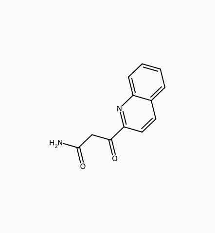 NC(=O)CC(=O)c1ccc2ccccc2n1